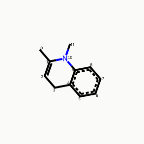 CC1=CCc2ccccc2N1C